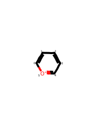 [c]1cccc[o+]1